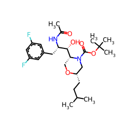 CC(=O)N[C@@H](Cc1cc(F)cc(F)c1)[C@H](O)[C@H]1CO[C@@H](CCC(C)C)CN1C(=O)OC(C)(C)C